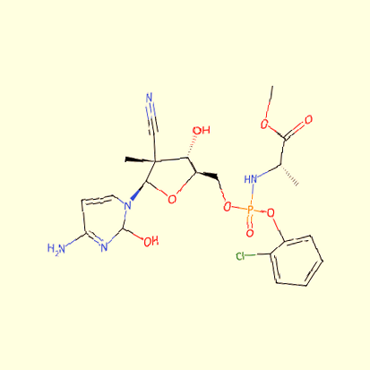 COC(=O)[C@H](C)NP(=O)(OC[C@H]1O[C@@H](N2C=CC(N)=NC2O)[C@](C)(C#N)[C@@H]1O)Oc1ccccc1Cl